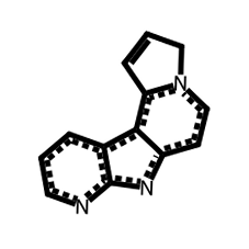 C1=Cc2c3c4cccnc4nc-3ccn2C1